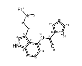 CCN(C)CCc1c[nH]c2cccc(OC(=O)c3ccco3)c12